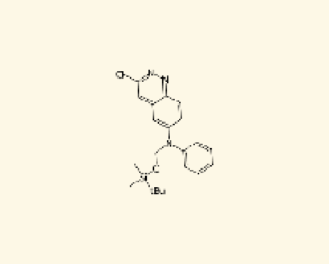 CC(C)(C)[Si](C)(C)OCN(c1ccccc1)c1ccc2nnc(Cl)cc2c1